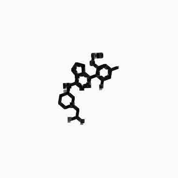 Cc1cc(F)c(-c2nnc(N[C@@H]3CCCN(CC(F)F)C3)n3cccc23)c(OC=O)c1